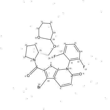 O=C(c1sc2c(ccc(=O)n2-c2c(F)cccc2F)c1Br)N1CCC[C@@H]1COC1CCCCO1